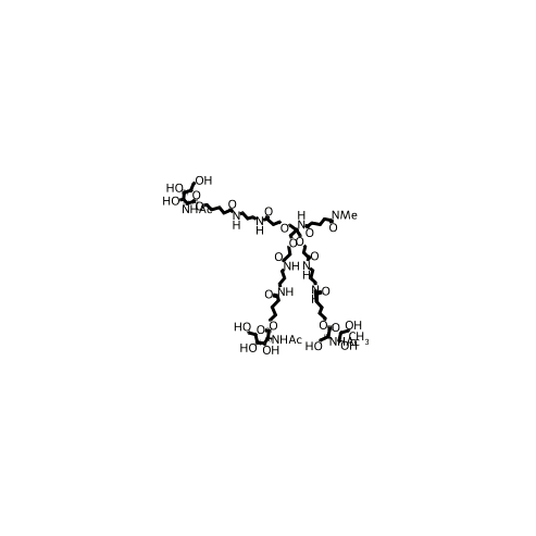 CNC(=O)CCCC(=O)NC(COCCC(=O)NCCCNC(=O)CCCCO[C@H](OC(CO)C(C)O)[C@H](CO)NC(C)=O)(COCCC(=O)NCCCNC(=O)CCCCO[C@@H]1OC(CO)[C@H](O)C(O)[C@@H]1NC(C)=O)COCCC(=O)NCCCNC(=O)CCCCO[C@@H]1OC(CO)[C@H](O)C(O)[C@@H]1NC(C)=O